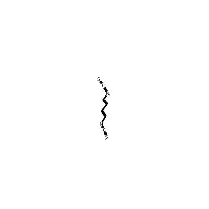 S=C=NC=CC=CN=C=S